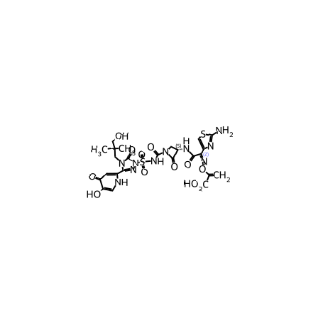 C=C(O/N=C(\C(=O)N[C@H]1CN(C(=O)NS(=O)(=O)n2nc(-c3cc(=O)c(O)c[nH]3)n(CC(C)(C)CO)c2=O)C1=O)c1csc(N)n1)C(=O)O